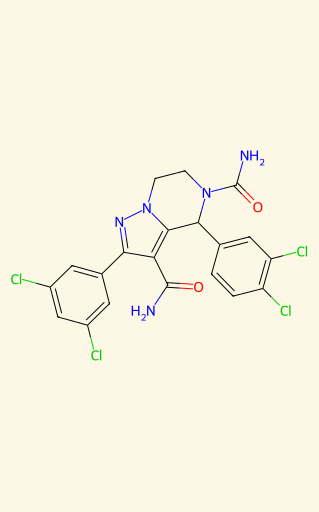 NC(=O)c1c(-c2cc(Cl)cc(Cl)c2)nn2c1C(c1ccc(Cl)c(Cl)c1)N(C(N)=O)CC2